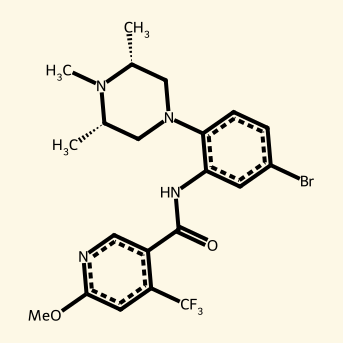 COc1cc(C(F)(F)F)c(C(=O)Nc2cc(Br)ccc2N2C[C@@H](C)N(C)[C@@H](C)C2)cn1